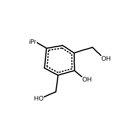 [CH2]C(C)c1cc(CO)c(O)c(CO)c1